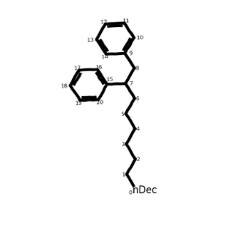 CCCCCCCCCCCCCCCCC(Cc1ccccc1)c1ccccc1